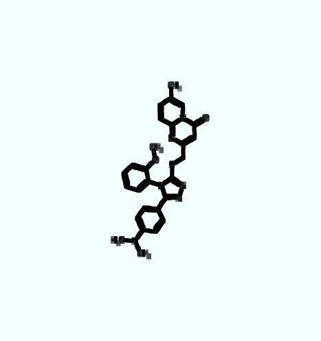 COc1ccccc1-n1c(SCc2cc(=O)n3cc(C)ccc3n2)nnc1-c1ccc(N(C)C)cc1